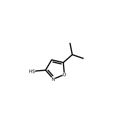 CC(C)c1cc(S)no1